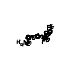 NC(=O)c1cccc(COc2ccc(Cn3cc(F)c(=O)n(Cc4ccc(C(F)(F)F)cc4)c3=O)cc2)c1